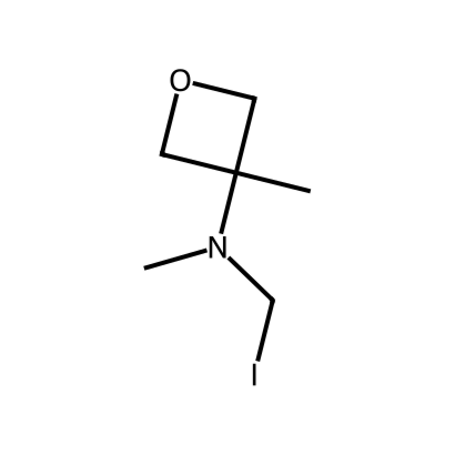 CN(CI)C1(C)COC1